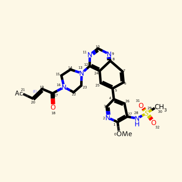 COc1ncc(-c2ccc3ncnc(N4CCN(C(=O)/C=C/C(C)=O)CC4)c3c2)cc1NS(C)(=O)=O